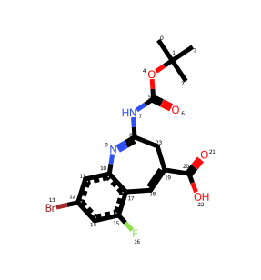 CC(C)(C)OC(=O)NC1=Nc2cc(Br)cc(F)c2C=C(C(=O)O)C1